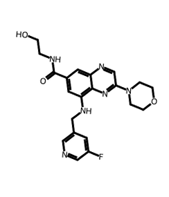 O=C(NCCO)c1cc(NCc2cncc(F)c2)c2nc(N3CCOCC3)cnc2c1